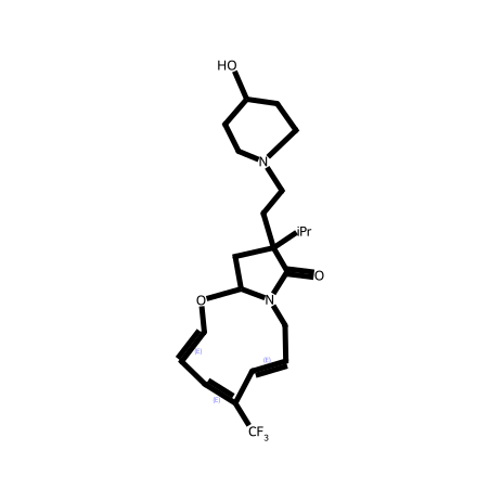 CC(C)C1(CCN2CCC(O)CC2)CC2O/C=C/C=C(C(F)(F)F)\C=C\CN2C1=O